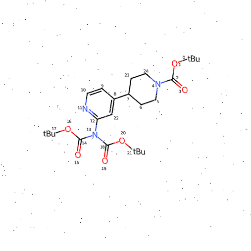 CC(C)(C)OC(=O)N1CCC(c2ccnc(N(C(=O)OC(C)(C)C)C(=O)OC(C)(C)C)c2)CC1